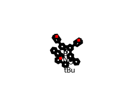 CC(C)(C)c1ccc(N2c3sc4cc5ccccc5cc4c3B3c4c(cc5c(oc6ccccc65)c42)-c2cc(C45CC6CC(CC(C6)C4)C5)cc4c5cc(C67CC8CC(CC(C8)C6)C7)ccc5n3c24)c(-c2ccccc2)c1